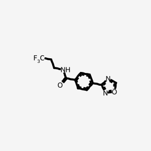 O=C(NCCC(F)(F)F)c1ccc(-c2ncon2)cc1